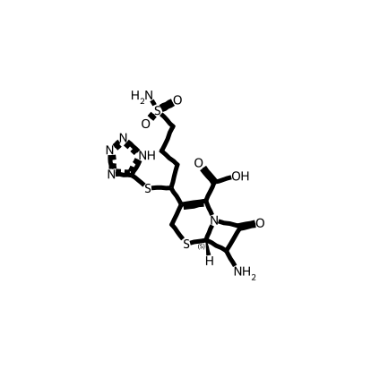 NC1C(=O)N2C(C(=O)O)=C(C(CCCS(N)(=O)=O)Sc3nnn[nH]3)CS[C@@H]12